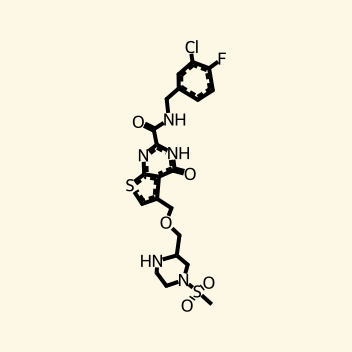 CS(=O)(=O)N1CCNC(COCc2csc3nc(C(=O)NCc4ccc(F)c(Cl)c4)[nH]c(=O)c23)C1